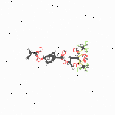 C=C(C)C(=O)OC1CC2CC1CC2C(=O)OC(C)CC(S(=O)(=O)C(F)(F)F)S(=O)(=O)C(F)(F)F